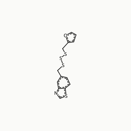 c1coc(CSSSCc2ccc3scnc3c2)c1